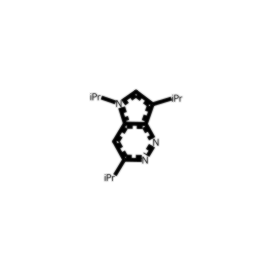 CC(C)c1cc2c(nn1)c(C(C)C)cn2C(C)C